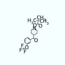 CC(C)(C)C(=O)ON1CCC(C(=O)c2cccc(OC(F)(F)F)c2)CC1